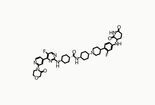 O=C1CCC(Nc2ccc(C3CCN([C@H]4CC[C@H](NC(=O)[C@H]5CC[C@H](Nc6ncc(F)c(-c7ccnc(N8CCOCC8=O)c7)n6)CC5)CC4)CC3)c(F)c2)C(=O)N1